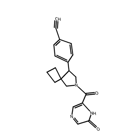 C#Cc1ccc(C2CN(C(=O)c3cncc(=O)[nH]3)CC23CCC3)cc1